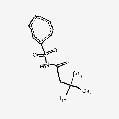 CC(C)(C)CC(=O)NS(=O)(=O)c1ccccc1